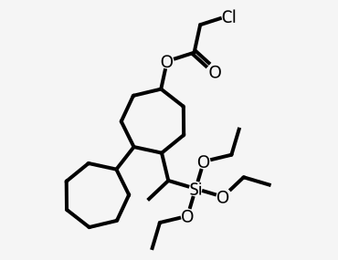 CCO[Si](OCC)(OCC)C(C)C1CCC(OC(=O)CCl)CCC1C1CCCCCC1